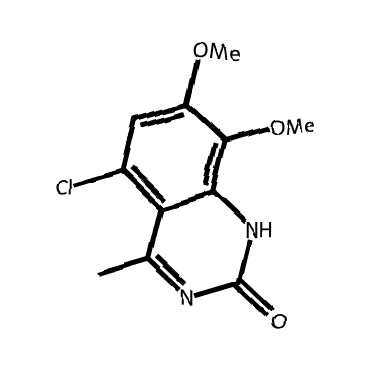 COc1cc(Cl)c2c(C)nc(=O)[nH]c2c1OC